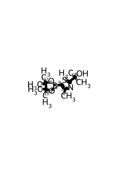 Cc1nc(C(C)(C)O)sc1B1OC(C)(C)C(C)(C)O1